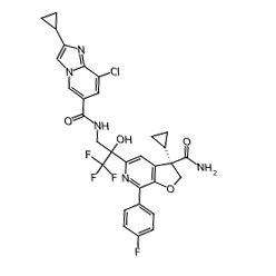 NC(=O)[C@@]1(C2CC2)COc2c1cc(C(O)(CNC(=O)c1cc(Cl)c3nc(C4CC4)cn3c1)C(F)(F)F)nc2-c1ccc(F)cc1